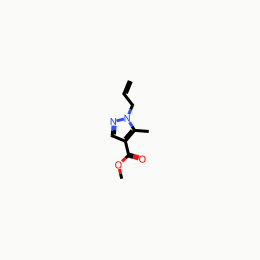 C=CCn1ncc(C(=O)OC)c1C